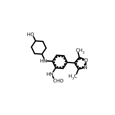 Cc1noc(C)c1-c1ccc(NC2CCC(O)CC2)c(NC=O)c1